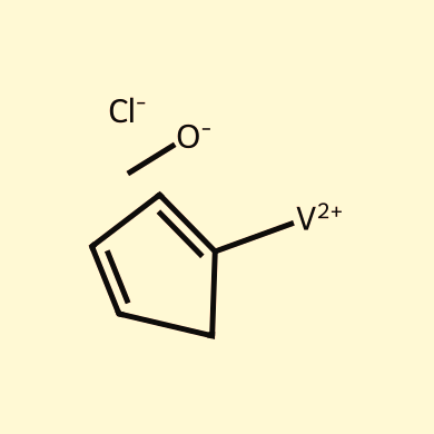 C[O-].[Cl-].[V+2][C]1=CC=CC1